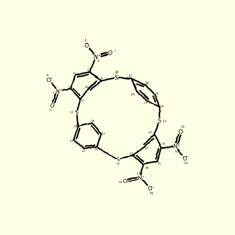 O=[N+]([O-])c1cc([N+](=O)[O-])c2cc1sc1ccc(cc1)sc1cc(sc3ccc(cc3)s2)c([N+](=O)[O-])cc1[N+](=O)[O-]